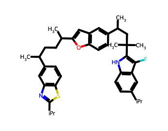 CC(C)c1ccc2[nH]c(C(C)(C)CC(C)c3ccc4oc(C(C)CCC(C)c5ccc6sc(C(C)C)nc6c5)cc4c3)c(F)c2c1